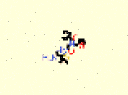 C=C(N)c1c(NC(=O)CN(Cc2ccco2)C(=O)C(/C=C\C)=C/C)sc(C)c1C